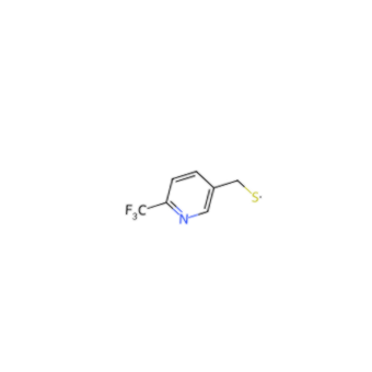 FC(F)(F)c1ccc(C[S])cn1